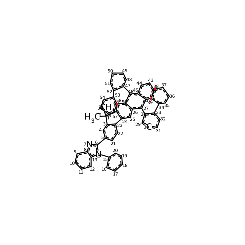 CC1(C)c2cc(-c3nc4ccccc4n3-c3ccccc3)ccc2-c2cc3c(-c4ccccc4-c4ccccc4)c4ccccc4c(-c4ccccc4-c4ccccc4)c3cc21